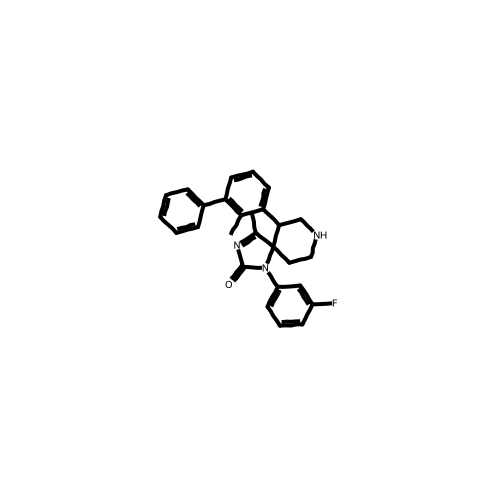 CC1=NC(=O)N(c2cccc(F)c2)C12CCNCC2c1cccc(-c2ccccc2)c1C